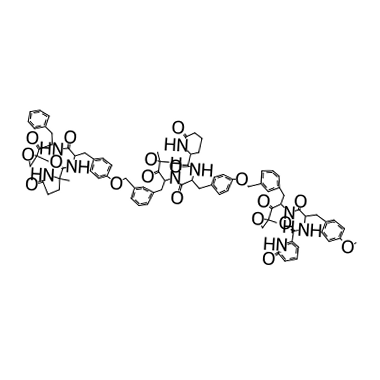 COc1ccc(CC(NC(=O)c2cccc(=O)[nH]2)C(=O)NC(Cc2cccc(COc3ccc(CC(NC(=O)C4CCCC(=O)N4)C(=O)NC(Cc4cccc(COc5ccc(CC(NC(=O)C6(C)CCC(=O)N6)C(=O)NC(Cc6ccccc6)C(=O)C6(C)CO6)cc5)c4)C(=O)C4(C)CO4)cc3)c2)C(=O)C2(C)CO2)cc1